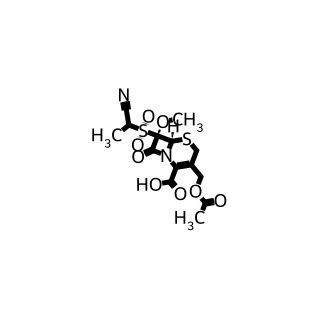 CO[C@@]1(S(=O)(=O)C(C)C#N)C(=O)N2C(C(=O)O)=C(COC(C)=O)CS[C@@H]21